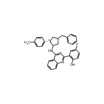 Cc1ccc([C@@H]2CN(Cc3ccccc3)CC2Nc2nc(-c3cc(F)ccc3O)nc3ccccc23)cc1